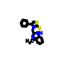 CC12C=CC=CC1NC(Cn1c(-c3ccccc3)csc1=S)=N2